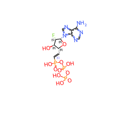 Nc1ncnc2c1ncn2[C@@H]1O[C@H](/C=C/P(=O)(O)OP(=O)(O)OP(=O)(O)O)[C@@H](O)[C@@H]1F